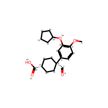 COc1ccc([C@]2(C=O)CC[C@@H](C(=O)O)CC2)cc1OC1CCCC1